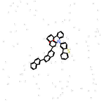 c1ccc(-c2ccccc2N(c2cccc(-c3ccc4ccc(-c5ccc6ccccc6c5)cc4c3)c2)c2ccc3sc4ccccc4c3c2)cc1